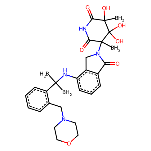 BC(B)(Nc1cccc2c1CN(C1(B)C(=O)NC(=O)C(B)(O)C1(O)O)C2=O)c1ccccc1CN1CCOCC1